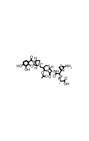 CC(=O)OC1=C(C[N+]2(C)C[C@H]3C[C@@H]2CN3C(=O)c2ccc(O)c(O)c2Cl)CS[C@@H]2[C@H](NC(=O)/C(=N\O[C@@H](C)C(=O)O)c3csc(N)n3)C(=O)N12